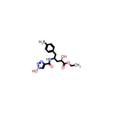 Bc1ccc(CC(C[C@@H](O)C(=O)OCC)NC(=O)c2cn(O)nn2)cc1